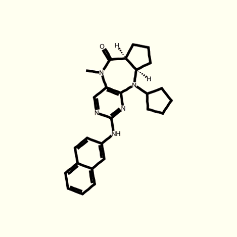 CN1C(=O)[C@H]2CCC[C@H]2N(C2CCCC2)c2nc(Nc3ccc4ccccc4c3)ncc21